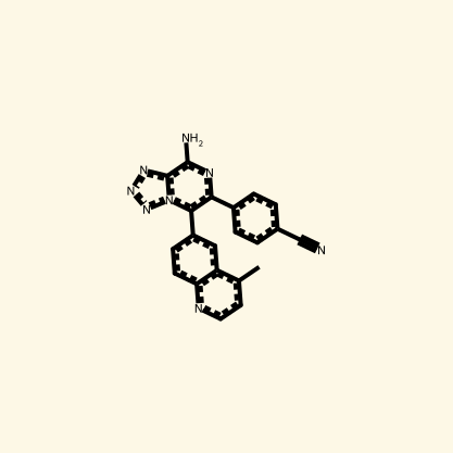 Cc1ccnc2ccc(-c3c(-c4ccc(C#N)cc4)nc(N)c4nnnn34)cc12